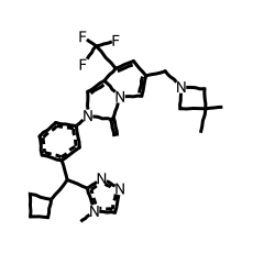 C=C1N2C=C(CN3CC(C)(C)C3)C=C(C(F)(F)F)C2=CN1c1cccc(C(c2nncn2C)C2CCC2)c1